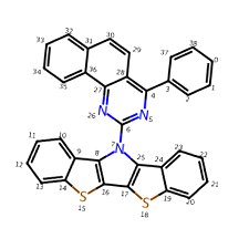 c1ccc(-c2nc(-n3c4c5ccccc5sc4c4sc5ccccc5c43)nc3c2ccc2ccccc23)cc1